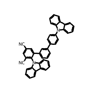 N#Cc1cc(C#N)c(-n2c3ccccc3c3ccccc32)c(-c2cccc(-c3ccc(-n4c5ccccc5c5ccccc54)cc3)c2)c1